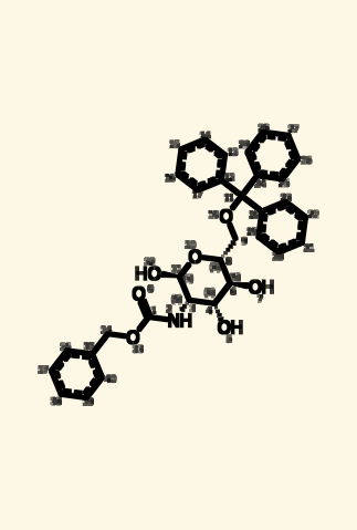 O=C(N[C@H]1[C@@H](O)[C@H](O)[C@@H](COC(c2ccccc2)(c2ccccc2)c2ccccc2)O[C@@H]1O)OCc1ccccc1